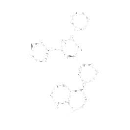 Cc1ccc(-c2cccc(-c3nc(-c4ccccc4)nc(-c4ccccc4)n3)c2)c2cccnc12